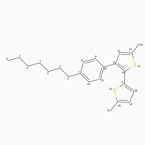 CCCCCCCc1ccc(-c2cc(C)sc2-c2ccc(C)s2)cc1